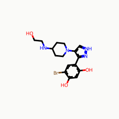 OCCNC1CCN(c2c[nH]nc2-c2cc(Br)c(O)cc2O)CC1